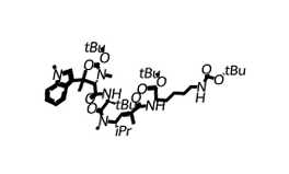 C/C(=C\[C@H](C(C)C)N(C)C(=O)[C@@H](NC(=O)[C@@H](N(C)C(=O)OC(C)(C)C)C(C)(C)c1cn(C)c2ccccc12)C(C)(C)C)C(=O)NC(CCCCNC(=O)OC(C)(C)C)C(=O)OC(C)(C)C